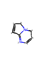 C1=CN=C2C=CCN2C1